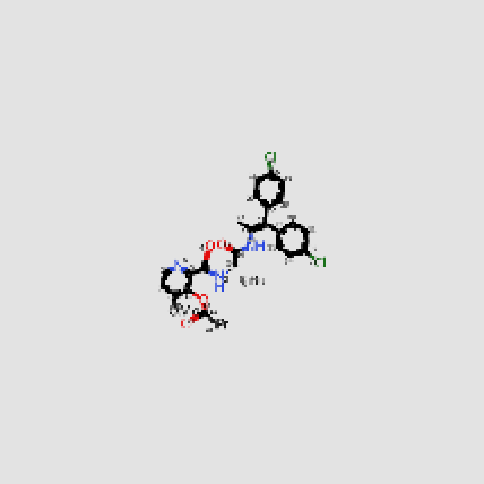 CC[C@H](C)[C@H](NC(=O)c1nccc(OC)c1OC(=O)C(C)C)C(=O)NC(C)=C(c1ccc(Cl)cc1)c1ccc(Cl)cc1